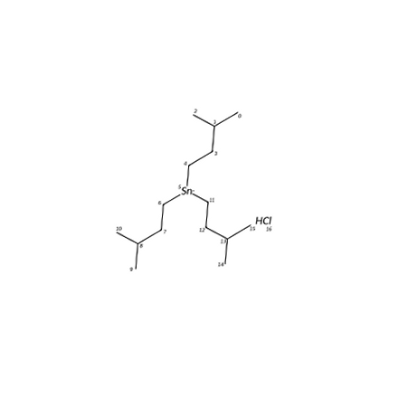 CC(C)C[CH2][Sn]([CH2]CC(C)C)[CH2]CC(C)C.Cl